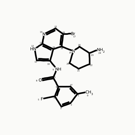 Cc1ccc(F)c(C(=O)Nc2c[nH]c3ncc(Br)c(N4CCCC(N)C4)c23)c1